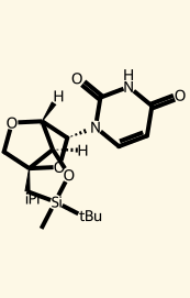 CC(C)[C@]12CO[C@H]([C@H](n3ccc(=O)[nH]c3=O)O1)[C@H]2O[Si](C)(C)C(C)(C)C